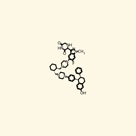 Cn1nc(C2NCC(=O)NC2=O)c2cc(N3CCN(C[C@@H]4CCCC[C@H]4CN4CCN(c5ccc([C@@H]6c7ccc(O)cc7CC[C@@H]6c6ccccc6)cc5)CC4)CC3)c(F)cc21